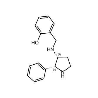 Oc1ccccc1CN[C@@H]1CCN[C@@H]1c1ccccc1